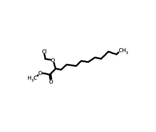 CCCCCCCCCCC(OCCl)C(=O)OC